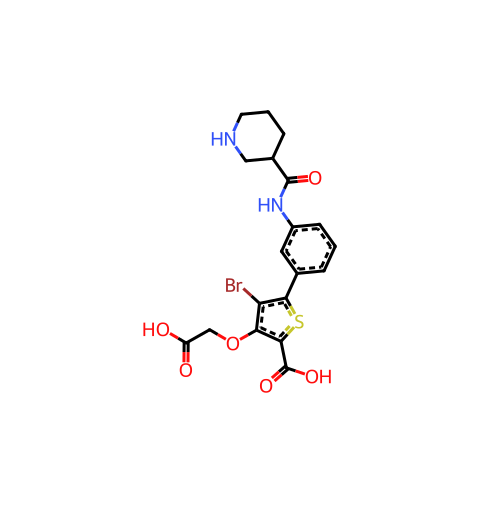 O=C(O)COc1c(C(=O)O)sc(-c2cccc(NC(=O)C3CCCNC3)c2)c1Br